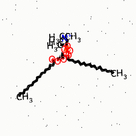 CCCCCCCCCCCCCCCCCC(=O)OC[C@@H](COP(=O)(OCC)OCC[N+](C)(C)C)OC(=O)CCCCCCCCCCCCCCCCC